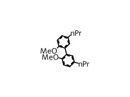 CCCc1ccc(OC)c(-c2cc(CCC)ccc2OC)c1